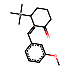 COc1cccc(/C=C2\C(=O)CCCC2[Si](C)(C)C)c1